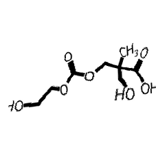 CC(CO)(COC(=O)OCCO)C(=O)O